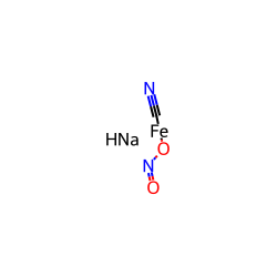 N#[C][Fe][O]N=O.[NaH]